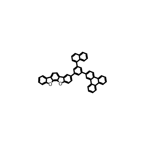 c1ccc2c(-c3cc(-c4ccc5oc6c(ccc7c8ccccc8oc76)c5c4)cc(-c4ccc5c6ccccc6c6ccccc6c5c4)c3)cccc2c1